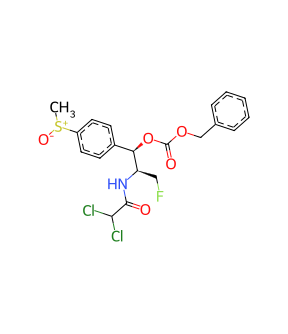 C[S+]([O-])c1ccc([C@@H](OC(=O)OCc2ccccc2)[C@@H](CF)NC(=O)C(Cl)Cl)cc1